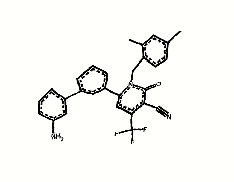 Cc1ccc(Cn2c(-c3cccc(-c4cccc(N)c4)c3)cc(C(F)(F)F)c(C#N)c2=O)c(C)c1